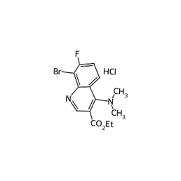 CCOC(=O)c1cnc2c(Br)c(F)ccc2c1N(C)C.Cl